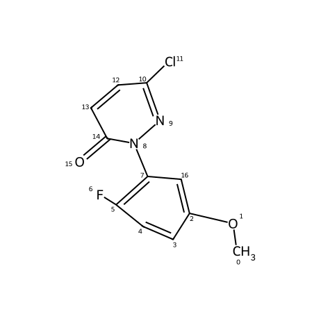 COc1ccc(F)c(-n2nc(Cl)ccc2=O)c1